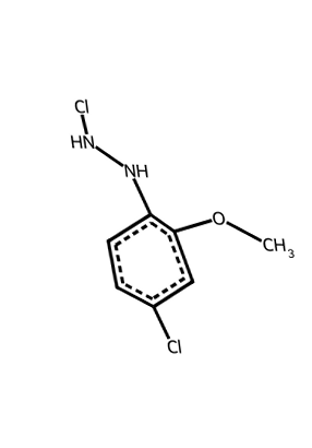 COc1cc(Cl)ccc1NNCl